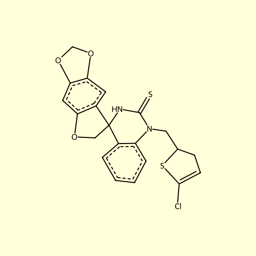 S=C1NC2(COc3cc4c(cc32)OCO4)c2ccccc2N1CC1CC=C(Cl)S1